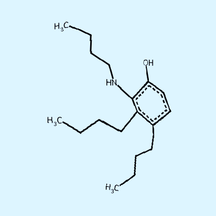 CCCCNc1c(O)ccc(CCCC)c1CCCC